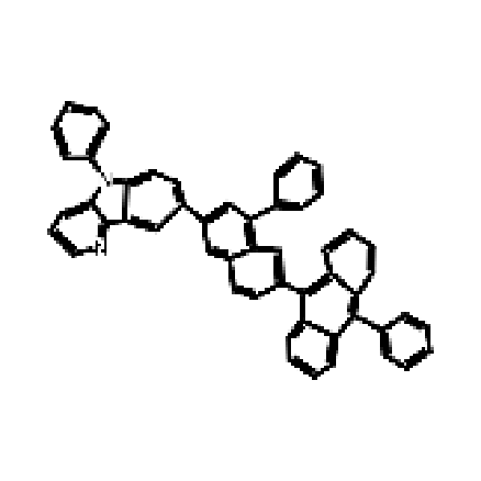 c1ccc(-c2cc(-c3ccc4c(c3)c3ncccc3n4-c3ccccc3)cc3ccc(-c4c5ccccc5c(-c5ccccc5)c5ccccc45)cc23)cc1